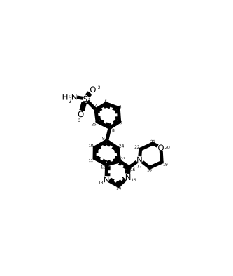 NS(=O)(=O)c1cccc(-c2ccc3ncnc(N4CCOCC4)c3c2)c1